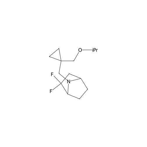 CC(C)OCC1(CN2C3CCC2C(F)(F)C3)CC1